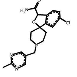 Cc1ncc(CN2CCC3(CC2)OC(C(N)=O)c2ccc(Cl)cc23)cn1